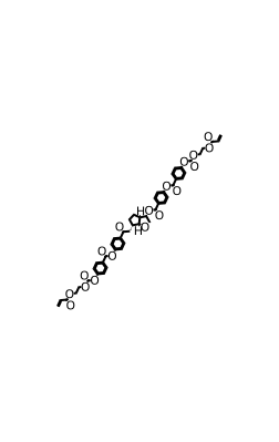 C=CC(=O)OCCOC(=O)Oc1ccc(C(=O)Oc2ccc(C(=O)C[C@@H]3CC[C@@H]4[C@H]3OC[C@H]4OC(=O)c3ccc(OC(=O)c4ccc(OC(=O)OCCOC(=O)C=C)cc4)cc3)cc2)cc1